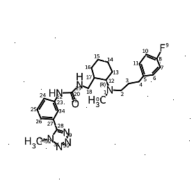 CN(CCCc1ccc(F)cc1)[C@@H]1CCCCC1CNC(=O)Nc1cccc(-c2nnnn2C)c1